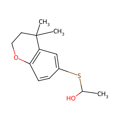 CC(O)Sc1ccc2c(c1)C(C)(C)CCO2